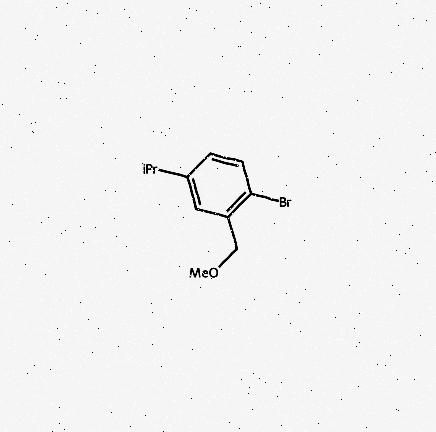 COCc1cc(C(C)C)ccc1Br